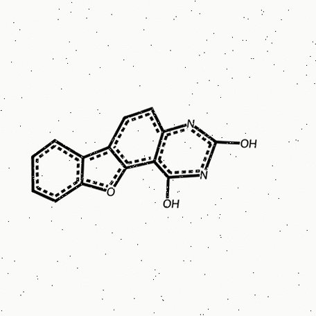 Oc1nc(O)c2c(ccc3c4ccccc4oc32)n1